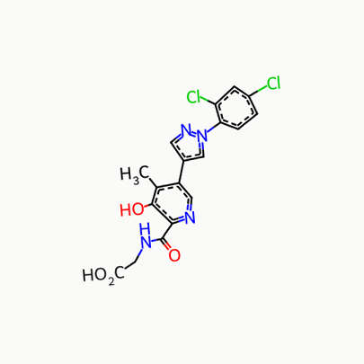 Cc1c(-c2cnn(-c3ccc(Cl)cc3Cl)c2)cnc(C(=O)NCC(=O)O)c1O